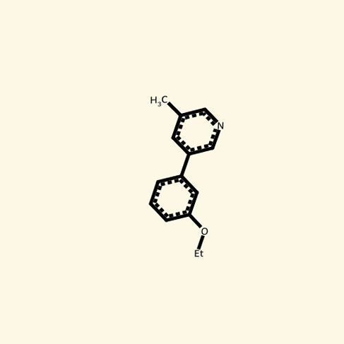 CCOc1cccc(-c2cncc(C)c2)c1